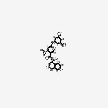 CN(C)c1cc(Sc2cc(Cl)cc(Cl)c2)ncc1C(=O)NC1CCCc2ccccc21